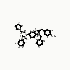 N#Cc1ccc(Cc2nc3cc(N(CCN4CCCC4)S(=O)(=O)c4ccccc4)ccc3n2Cc2ccccc2)cc1